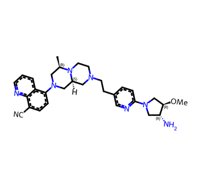 CO[C@@H]1CN(c2ccc(CCN3CCN4[C@@H](C3)CN(c3ccc(C#N)c5ncccc35)C[C@H]4C)cn2)C[C@H]1N